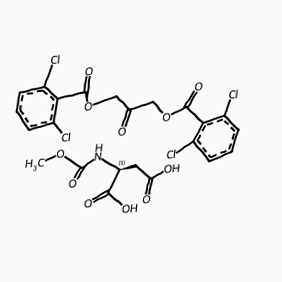 COC(=O)N[C@@H](CC(=O)O)C(=O)O.O=C(COC(=O)c1c(Cl)cccc1Cl)COC(=O)c1c(Cl)cccc1Cl